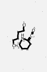 CCCCCCl.O=C=C1CCCCN1